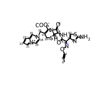 CC#CO/N=C(\C(=O)N[C@@H]1C(=O)N2C(C(=O)[O-])=C(Cn3cc[n+]4cccc-4c3)CS[C@@H]12)c1csc(N)n1